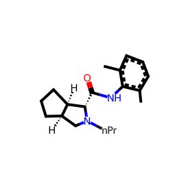 CCCN1C[C@H]2CCC[C@H]2[C@@H]1C(=O)Nc1c(C)cccc1C